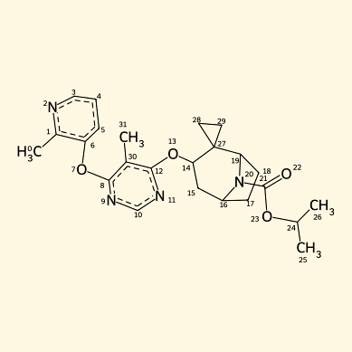 Cc1ncccc1Oc1ncnc(OC2CC3CCC(N3C(=O)OC(C)C)C23CC3)c1C